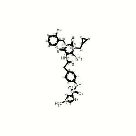 Cn1cnc(S(=O)(=O)Nc2ccc(CC(=O)Nc3c(N)n(CC4CC4)c(=O)n(Cc4ccccc4F)c3=O)cc2)c1